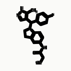 Cc1[nH]ncc1C(c1ccc(F)cc1)N1CCc2cc(NC(=O)CC(C)(C)C)ccc21